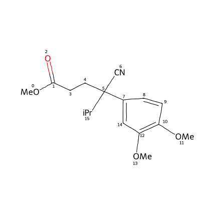 COC(=O)CCC(C#N)(c1ccc(OC)c(OC)c1)C(C)C